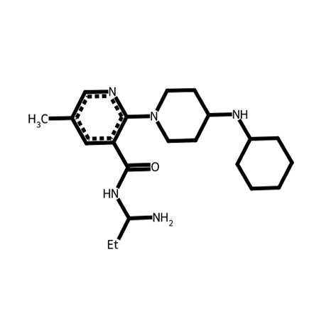 CCC(N)NC(=O)c1cc(C)cnc1N1CCC(NC2CCCCC2)CC1